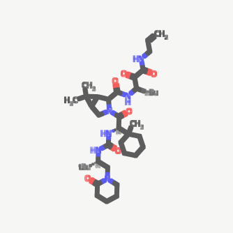 C=CCNC(=O)C(=O)C(CCCC)NC(=O)C1C2C(CN1C(=O)[C@@H](NC(=O)N[C@H](CN1CCCCC1=O)C(C)(C)C)C1(C)CCCCC1)C2(C)C